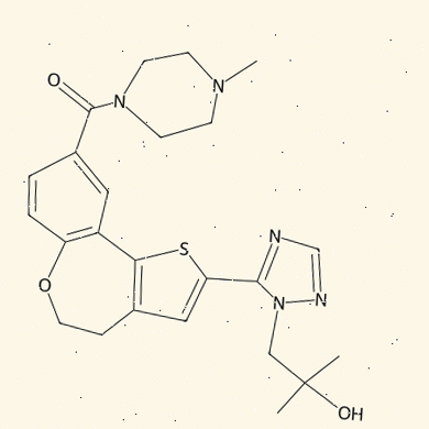 CN1CCN(C(=O)c2ccc3c(c2)-c2sc(-c4ncnn4CC(C)(C)O)cc2CCO3)CC1